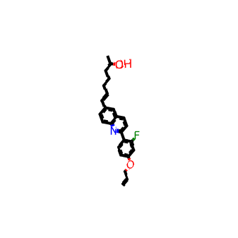 C=CCOc1ccc(-c2ccc3cc(C=CCCCC(C)O)ccc3n2)c(F)c1